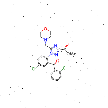 COC(=O)c1nc(CN2CCOCC2)n(-c2ccc(Cl)cc2C(=O)c2ccccc2Cl)n1